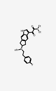 CCCN(CCc1ccc(F)cc1)C1Cc2cc3[nH]cc(C(=O)C(=O)N(CC)CC)c3cc2C1